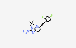 CC(C)(C)Cn1c(N)nc2ccc(C#Cc3ccc(F)cc3F)nc21